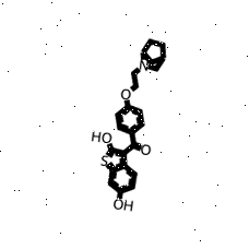 O=C(c1ccc(OCCN2CC3CCC2C3)cc1)c1c(O)sc2cc(O)ccc12